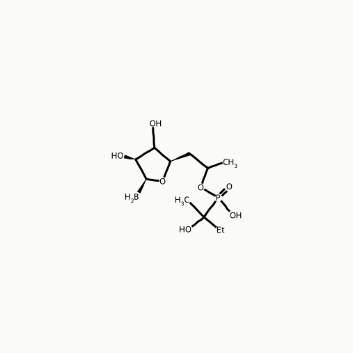 B[C@@H]1O[C@H](CC(C)OP(=O)(O)C(C)(O)CC)C(O)[C@@H]1O